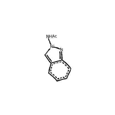 CC(=O)N[N+]1C=c2ccccc2=N1